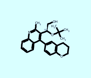 Cc1nc2ccccc2c(-c2ccc3c(c2)CCCO3)c1[C@@H](CO)OC(C)(C)C